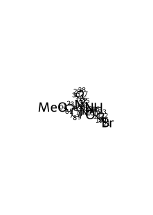 COc1ccc2c(c1)CCCc1nc(NC(=O)Cc3ccc(Br)cc3)c(Cc3ccccc3)nc1-2